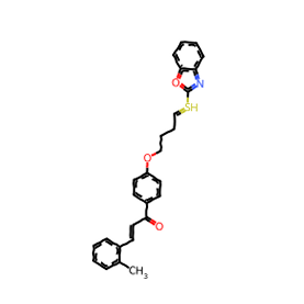 Cc1ccccc1/C=C/C(=O)c1ccc(OCCCC=[SH]c2nc3ccccc3o2)cc1